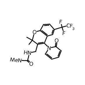 CNC(=O)NCC1=C(n2ccccc2=O)c2cc(C(F)(F)C(F)(F)F)ccc2OC1(C)C